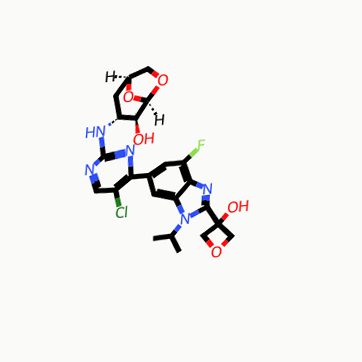 CC(C)n1c(C2(O)COC2)nc2c(F)cc(-c3nc(N[C@@H]4C[C@H]5CO[C@H](O5)[C@H]4O)ncc3Cl)cc21